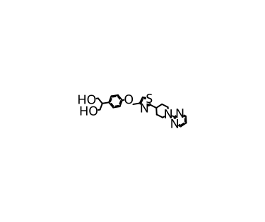 OCC(CO)c1ccc(OCc2csc(C3CCN(c4ncccn4)CC3)n2)cc1